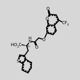 O=C(COc1ccc2c(C(F)(F)F)cc(=O)oc2c1)N[C@@H](Cc1csc2ccccc12)C(=O)O